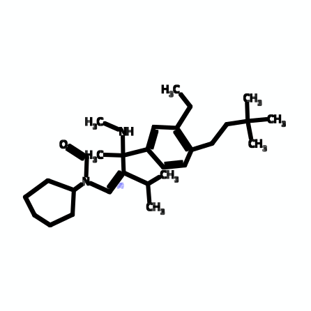 CCc1cc(C(C)(NC)/C(=C\N(C=O)C2CCCCC2)C(C)C)ccc1CCC(C)(C)C